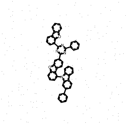 c1ccc(-c2ccc3c4ccccc4n(-c4cccc5oc6cc(-c7nc(-c8ccccc8)nc(-c8cccc9c8oc8ccccc89)n7)ccc6c45)c3c2)cc1